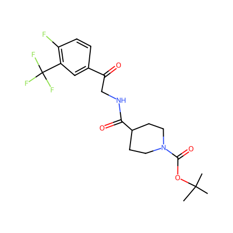 CC(C)(C)OC(=O)N1CCC(C(=O)NCC(=O)c2ccc(F)c(C(F)(F)F)c2)CC1